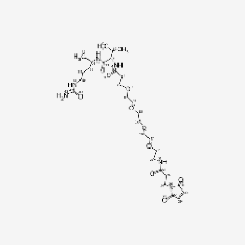 CC(C)[C@H](NC(=O)CCOCCOCCOCCOCCNC(=O)CCN1C(=O)C=CC1=O)C(=O)N[C@H](C)CCCNC(N)=O